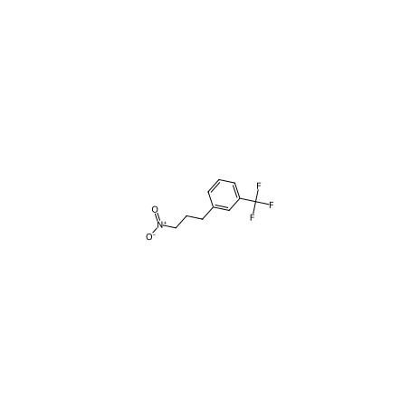 O=[N+]([O-])CCCc1cccc(C(F)(F)F)c1